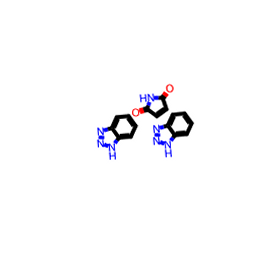 O=C1C=CC(=O)N1.c1ccc2[nH]nnc2c1.c1ccc2[nH]nnc2c1